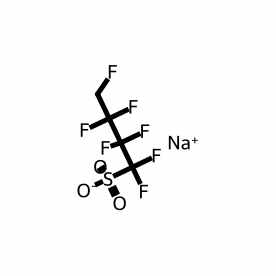 O=S(=O)([O-])C(F)(F)C(F)(F)C(F)(F)CF.[Na+]